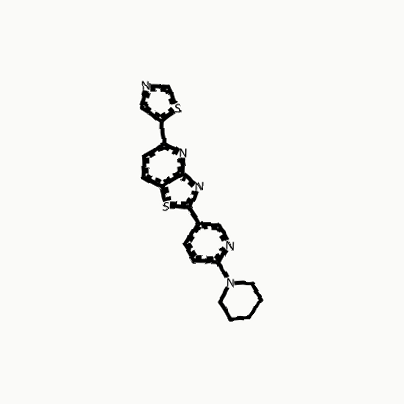 c1ncc(-c2ccc3sc(-c4ccc(N5CCCCC5)nc4)nc3n2)s1